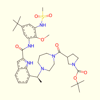 COc1c(NC(=O)c2cc3cccc([C@H](C)N4CCCN(C(=O)C5CCN(C(=O)OC(C)(C)C)C5)CC4)c3[nH]2)cc(C(C)(C)C)cc1NS(C)(=O)=O